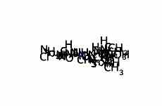 C/C(=N\OCCN1CCN(CC(=O)N[C@H](C(=O)N2C[C@H](O)C[C@H]2C(=O)N[C@@H](C)c2ccc(-c3scnc3C)cc2)C(C)(C)C)CC1)c1cc(C(=O)N[C@@H](C)Cn2ccc(-c3ccc(C#N)c(Cl)c3)n2)n[nH]1